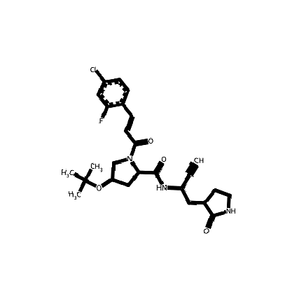 C#CC(CC1CCNC1=O)NC(=O)C1CC(OC(C)(C)C)CN1C(=O)/C=C/c1ccc(Cl)cc1F